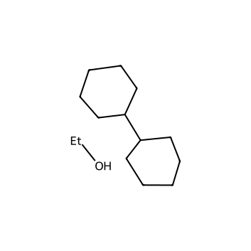 C1CCC(C2CCCCC2)CC1.CCO